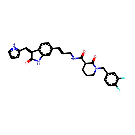 O=C1Nc2cc(C=CCNC(=O)C3CCCN(Cc4ccc(F)c(F)c4)C3=O)ccc2C1=Cc1ccc[nH]1